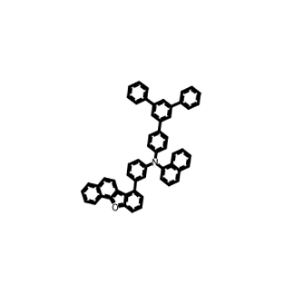 c1ccc(-c2cc(-c3ccccc3)cc(-c3ccc(N(c4cccc(-c5cccc6oc7c8ccccc8ccc7c56)c4)c4cccc5ccccc45)cc3)c2)cc1